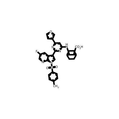 Cc1ccc(S(=O)(=O)n2cc(-c3nc(NC4C5CCC(CC5)C4C(=O)O)cc(-c4ccoc4)n3)c3cc(F)cnc32)cc1